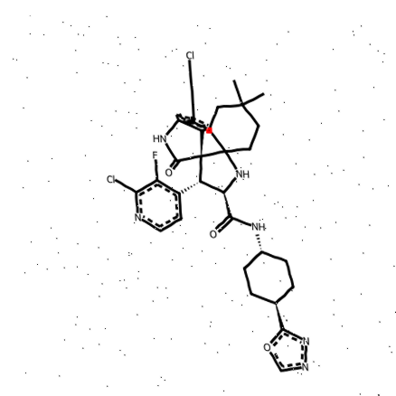 CC1(C)CCC2(CC1)N[C@@H](C(=O)N[C@H]1CC[C@H](c3nnco3)CC1)[C@H](c1ccnc(Cl)c1F)[C@]21C(=O)Nc2cc(Cl)ccc21